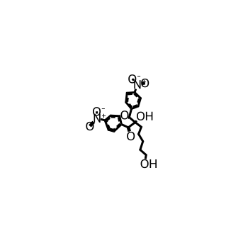 O=C(c1ccc([N+](=O)[O-])cc1)C(O)(CCCCCO)C(=O)c1ccc([N+](=O)[O-])cc1